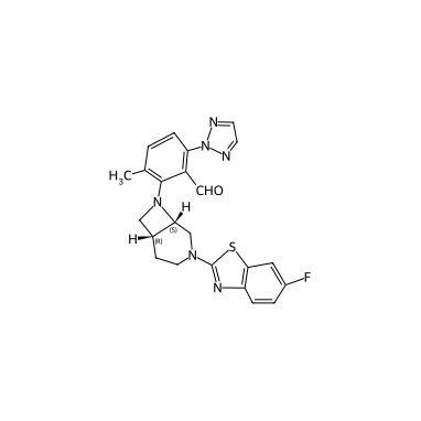 Cc1ccc(-n2nccn2)c(C=O)c1N1C[C@H]2CCN(c3nc4ccc(F)cc4s3)C[C@H]21